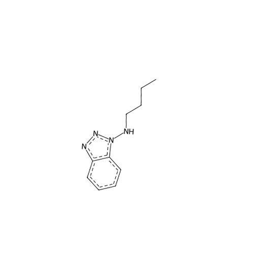 CCCCNn1nnc2ccccc21